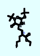 CCOC(=O)/C(=C/C[C@H](NC(=O)OC(C)(C)C)C(=O)OC(C)(C)C)CCCF